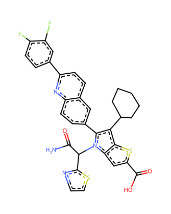 NC(=O)C(c1nccs1)n1c(-c2ccc3nc(-c4ccc(F)c(F)c4)ccc3c2)c(C2CCCCC2)c2sc(C(=O)O)cc21